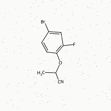 CC(C#N)Oc1ccc(Br)cc1F